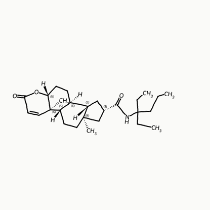 CCCC(CC)(CC)NC(=O)[C@H]1C[C@H]2[C@@H]3CC[C@H]4OC(=O)C=C[C@]4(C)[C@H]3CC[C@]2(C)C1